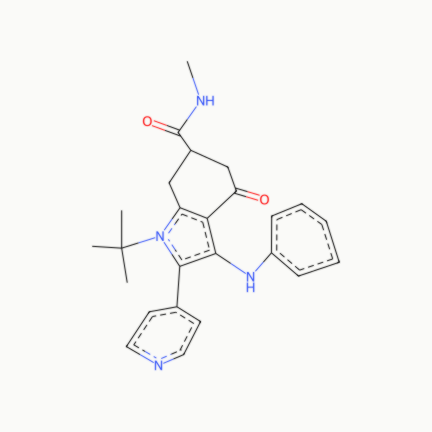 CNC(=O)C1CC(=O)c2c(Nc3ccccc3)c(-c3ccncc3)n(C(C)(C)C)c2C1